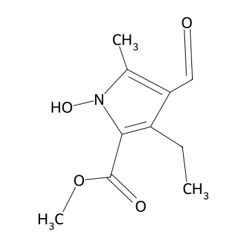 CCc1c(C=O)c(C)n(O)c1C(=O)OC